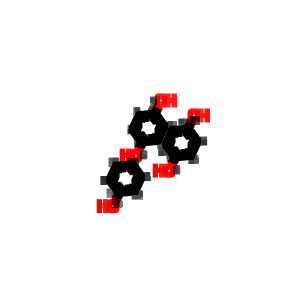 Oc1ccc(O)cc1.Oc1ccc(O)cc1.Oc1ccccc1